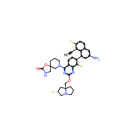 C#Cc1c(F)ccc2cc(N)cc(-c3c(F)cc4c(N5CCCC6(CNC(=O)O6)C5)nc(OC[C@@]56CCCN5C[C@H](F)C6)nc4c3F)c12